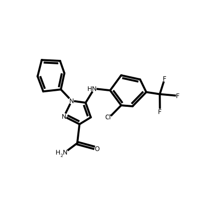 NC(=O)c1cc(Nc2ccc(C(F)(F)F)cc2Cl)n(-c2ccccc2)n1